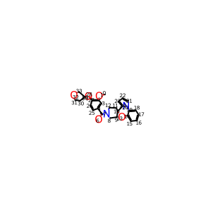 COc1cc(C(=O)N2CCC3(CC2)Oc2ccccc2-n2cccc23)ccc1O[C@@H]1CCOC1